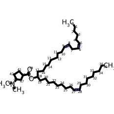 CCCCC/C=C\C/C=C\CCCCCCCCC(CCCCCCCC/C=C\CCCCCCCC)OC(=O)C1CCC(N(C)C)C1